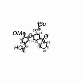 C=C(O)Cc1ccc(OC)c(Oc2ccc(C(=O)N3CCCCC3)cc2CSC(C)(C)C)c1